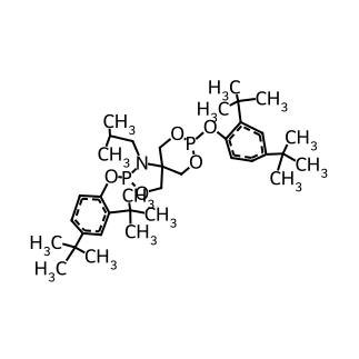 CC(C)CN1P(Oc2ccc(C(C)(C)C)cc2C(C)(C)C)OCC12COP(Oc1ccc(C(C)(C)C)cc1C(C)(C)C)OC2